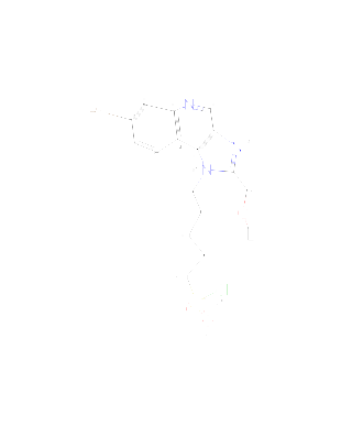 CCOCc1nc2cnc3cc(Br)ccc3c2n1CCCCCS(=O)(=O)Cl